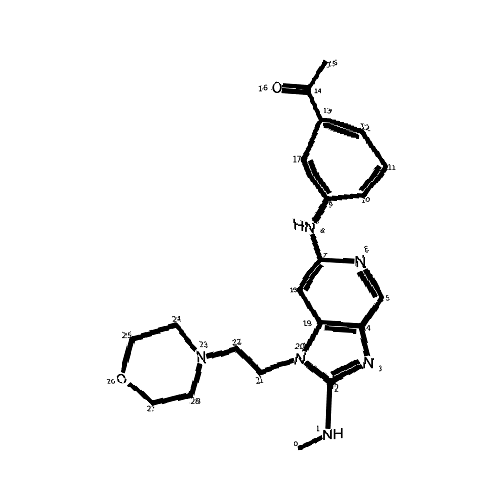 CNc1nc2cnc(Nc3cccc(C(C)=O)c3)cc2n1CCN1CCOCC1